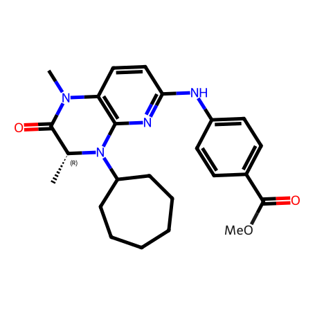 COC(=O)c1ccc(Nc2ccc3c(n2)N(C2CCCCCC2)[C@H](C)C(=O)N3C)cc1